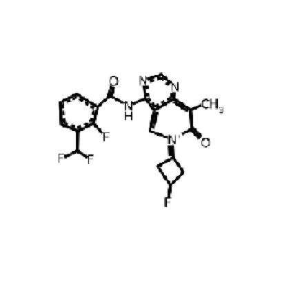 CC1=c2ncnc(NC(=O)c3cccc(C(F)F)c3F)c2=C[N+](=C2CC(F)C2)C1=O